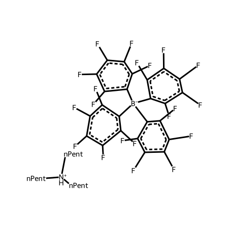 CCCCC[NH+](CCCCC)CCCCC.Fc1c(F)c(F)c([B-](c2c(F)c(F)c(F)c(F)c2F)(c2c(F)c(F)c(F)c(F)c2F)c2c(F)c(F)c(F)c(F)c2F)c(F)c1F